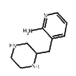 Nc1ncccc1CC1CNCCN1